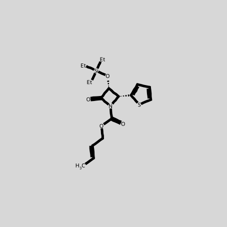 C/C=C/COC(=O)N1C(=O)[C@H](O[Si](CC)(CC)CC)[C@@H]1c1cccs1